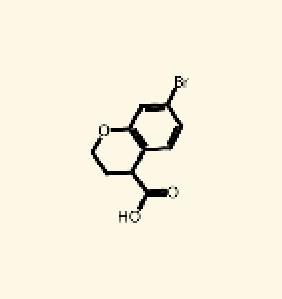 O=C(O)C1CCOc2cc(Br)ccc21